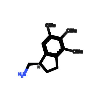 COc1cc2c(c(OC)c1OC)CC[C@H]2CN